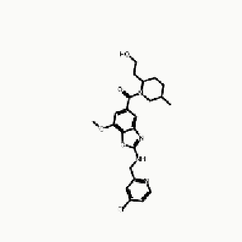 COc1cc(C(=O)N2CC(C)CCC2CCO)cc2nc(NCc3cc(Cl)ccn3)oc12